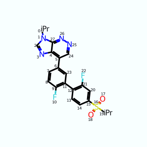 CC(C)n1cnc2c(-c3ccc(F)c(-c4ccc(S(=O)(=O)C(C)C)cc4F)c3)cnnc21